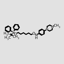 CN1CCN(c2ccc(NOCCCCCCO[Si](c3ccccc3)(c3ccccc3)C(C)(C)C)cc2)CC1